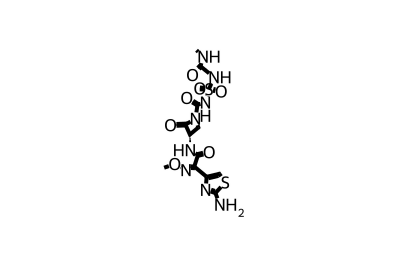 CNC(=O)NS(=O)(=O)NC(=O)N1C[C@H](NC(=O)C(=NOC)c2csc(N)n2)C1=O